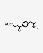 CCCCCCCCCCC(=O)c1ccc(CC(C)N)cc1